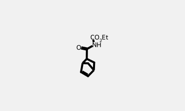 CCOC(=O)NC(=O)C1CC2C=CC1C2